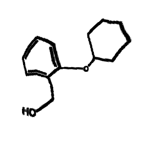 OCc1ccccc1OC1CCCCC1